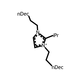 CCCCCCCCCCCCn1cc[n+](CCCCCCCCCCCC)c1C(C)C